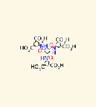 O=C(O)c1cc(NC(=O)c2cc(C(=O)Nc3cc(C(=O)O)cc(C(=O)O)c3)cc(C(=O)Nc3cc(C(=O)O)cc(C(=O)O)c3)c2)cc(C(=O)O)c1